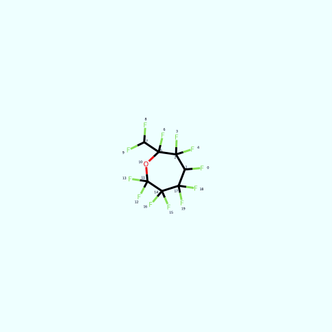 FC1C(F)(F)C(F)(C(F)F)OC(F)(F)C(F)(F)C1(F)F